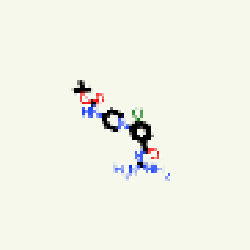 CC(C)(C)OC(=O)NC1CCN(c2cc(C(=O)N=C(N)N)ccc2Cl)CC1